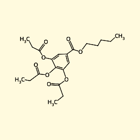 CCCCCOC(=O)c1cc(OC(=O)CC)c(OC(=O)CC)c(OC(=O)CC)c1